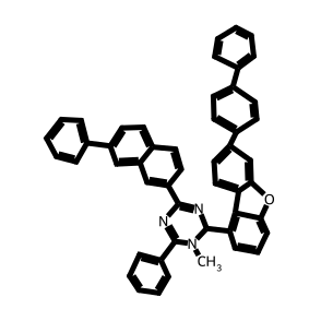 CN1C(c2ccccc2)=NC(c2ccc3ccc(-c4ccccc4)cc3c2)=NC1c1cccc2oc3cc(-c4ccc(-c5ccccc5)cc4)ccc3c12